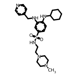 CN1CCN(CCNS(=O)(=O)c2ccc(NC3CCCCC3)c(NCc3ccncc3)c2)CC1